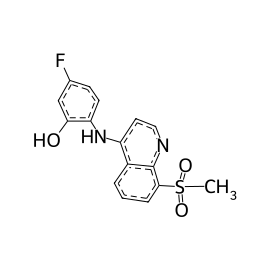 CS(=O)(=O)c1cccc2c(Nc3ccc(F)cc3O)ccnc12